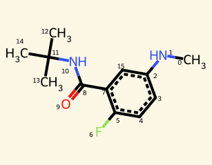 CNc1ccc(F)c(C(=O)NC(C)(C)C)c1